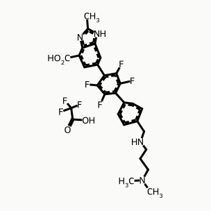 Cc1nc2c(C(=O)O)cc(-c3c(F)c(F)c(-c4ccc(CNCCCN(C)C)cc4)c(F)c3F)cc2[nH]1.O=C(O)C(F)(F)F